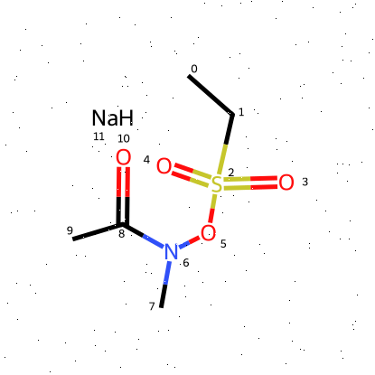 CCS(=O)(=O)ON(C)C(C)=O.[NaH]